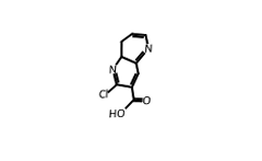 O=C(O)C1=CC2=NC=CCC2N=C1Cl